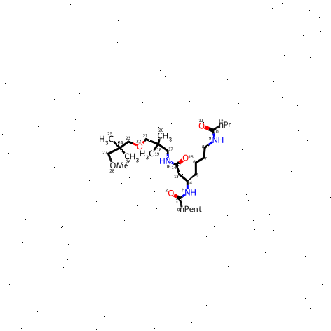 CCCCCC(=O)N[C@H](CCCCNC(=O)CCC)CC(=O)NCC(C)(C)COCC(C)(C)COC